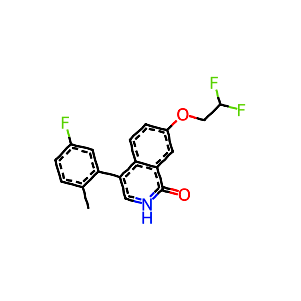 Cc1ccc(F)cc1-c1c[nH]c(=O)c2cc(OCC(F)F)ccc12